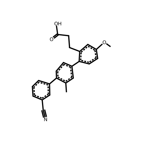 COc1ccc(-c2ccc(-c3cccc(C#N)c3)c(C)c2)c(CCC(=O)O)c1